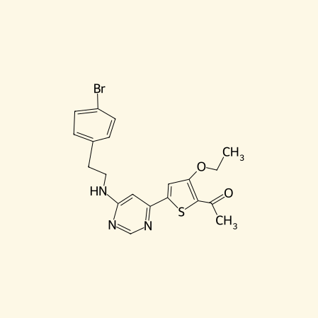 CCOc1cc(-c2cc(NCCc3ccc(Br)cc3)ncn2)sc1C(C)=O